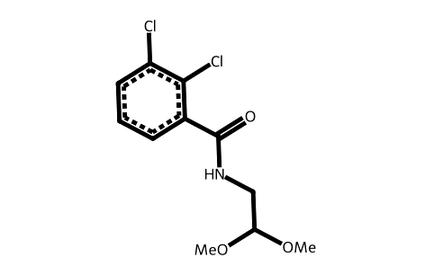 COC(CNC(=O)c1cccc(Cl)c1Cl)OC